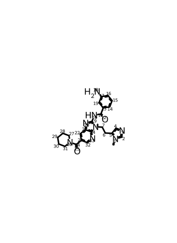 Cn1cncc1CCn1c(NC(=O)c2cccc(N)c2)nc2cc(C(=O)N3CCCCC3)cnc21